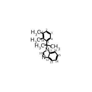 Cc1cccc(C(C)(C)n2cnc3ccccc32)c1C